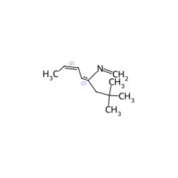 C=N/C(=C\C=C/C)CC(C)(C)C